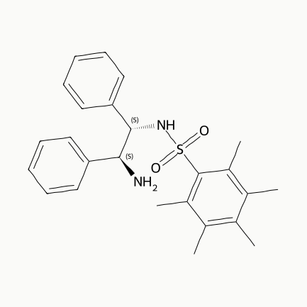 Cc1c(C)c(C)c(S(=O)(=O)N[C@@H](c2ccccc2)[C@@H](N)c2ccccc2)c(C)c1C